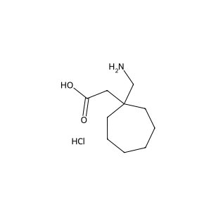 Cl.NCC1(CC(=O)O)CCCCCC1